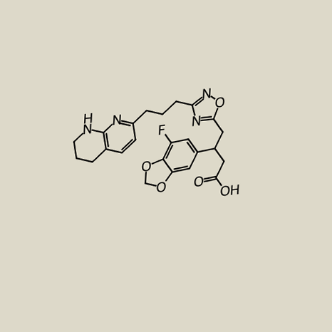 O=C(O)CC(Cc1nc(CCCc2ccc3c(n2)NCCC3)no1)c1cc(F)c2c(c1)OCO2